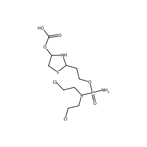 NP(=O)(OCCC1NC(OC(=O)O)CS1)N(CCCl)CCCl